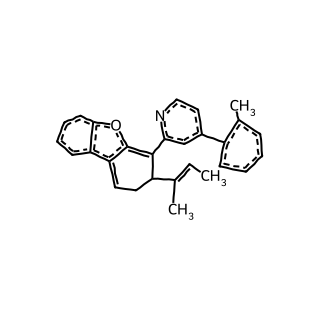 CC=C(C)C1CC=c2c(oc3ccccc23)=C1c1cc(-c2ccccc2C)ccn1